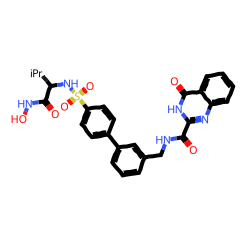 CC(C)C(NS(=O)(=O)c1ccc(-c2cccc(CNC(=O)c3nc4ccccc4c(=O)[nH]3)c2)cc1)C(=O)NO